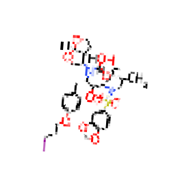 CC(C)CN(C[C@@H](O)[C@H](Cc1ccc(OCCCI)cc1)N(C(=O)O)[C@H]1CO[C@H]2OCC[C@H]21)S(=O)(=O)c1ccc2c(c1)OCO2